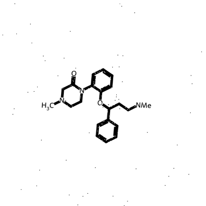 CNCCC(Oc1ccccc1N1CCN(C)CC1=O)c1ccccc1